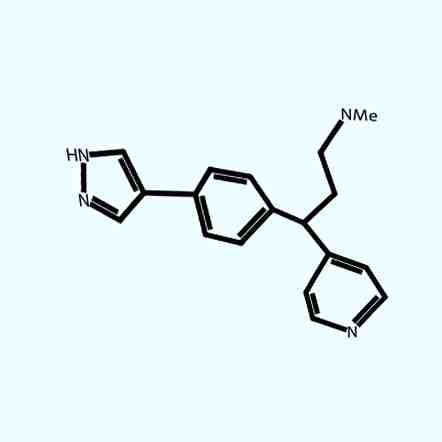 CNCCC(c1ccncc1)c1ccc(-c2cn[nH]c2)cc1